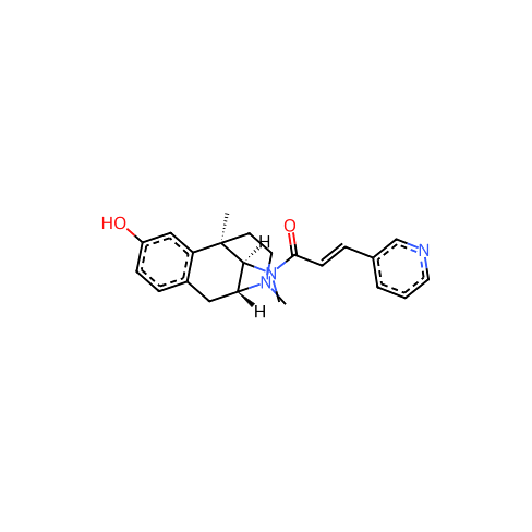 CN1CC[C@]2(C)c3cc(O)ccc3C[C@@H]1[C@@H]2N(C)C(=O)/C=C/c1cccnc1